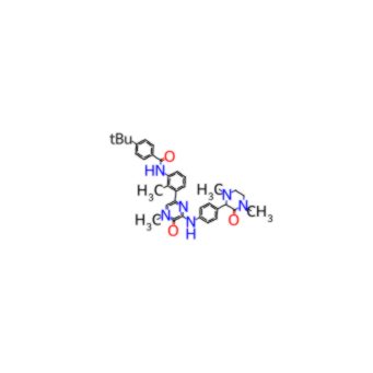 Cc1c(NC(=O)c2ccc(C(C)(C)C)cc2)cccc1-c1cn(C)c(=O)c(Nc2ccc(C3C(=O)N(C)CCN3C)cc2)n1